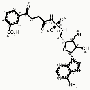 Nc1ncnc2c1ncn2[C@@H]1O[C@H](CNS(=O)(=O)NC(=O)CCC(=O)c2cccc(C(=O)O)c2)[C@@H](O)[C@H]1O